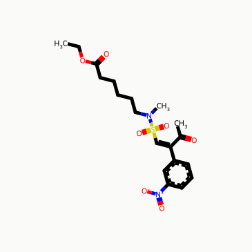 CCOC(=O)CCCCCN(C)S(=O)(=O)C=C(C(C)=O)c1cccc([N+](=O)[O-])c1